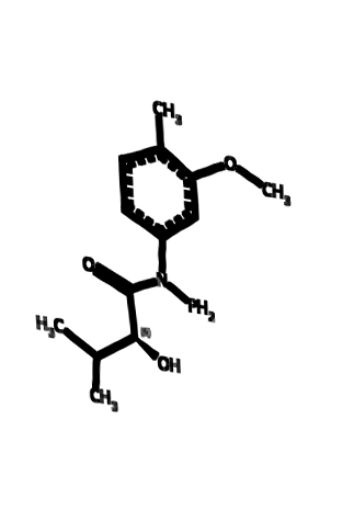 COc1cc(N(P)C(=O)[C@@H](O)C(C)C)ccc1C